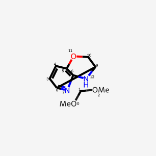 COCOC.c1cc2c3nc1C(CO2)N3